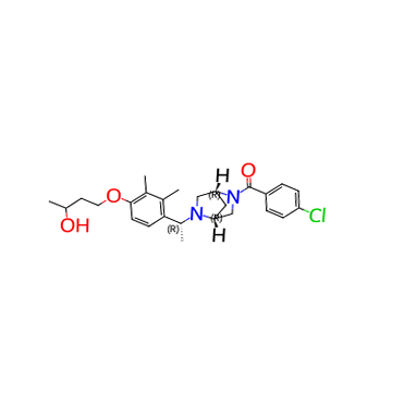 Cc1c(OCCC(C)O)ccc([C@@H](C)N2C[C@H]3C[C@@H]2CN3C(=O)c2ccc(Cl)cc2)c1C